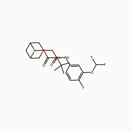 CC(C)(C)NC(=O)CN1C2CC1CN(CC(=O)Nc1ccc(F)c(OC(F)F)c1)C2